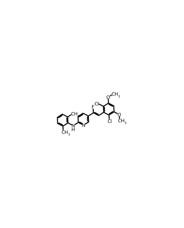 COc1cc(OC)c(Cl)c(/C=C(\F)c2ccc(Nc3c(C)cccc3C)nc2)c1Cl